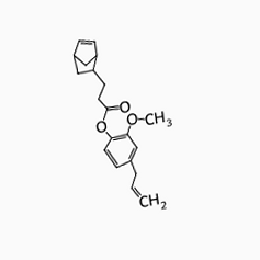 C=CCc1ccc(OC(=O)CCC2CC3C=CC2C3)c(OC)c1